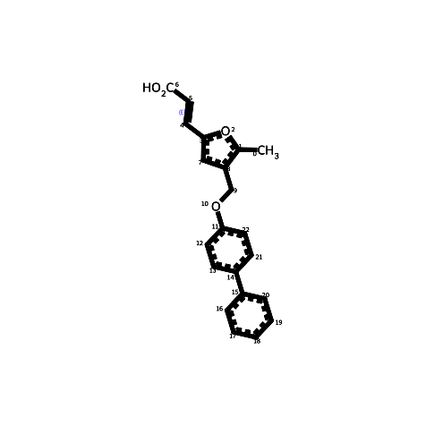 Cc1oc(/C=C/C(=O)O)cc1COc1ccc(-c2ccccc2)cc1